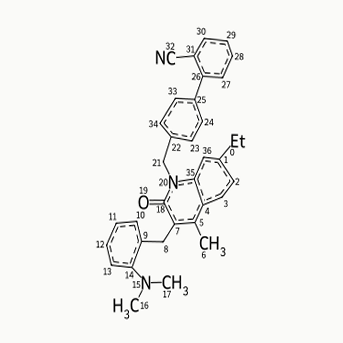 CCc1ccc2c(C)c(Cc3ccccc3N(C)C)c(=O)n(Cc3ccc(-c4ccccc4C#N)cc3)c2c1